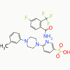 Cc1cccc(N2CCN(c3ccc(S(=O)(=O)O)cn3)CC2)c1.NC(=O)c1ccc(F)cc1C(F)(F)F